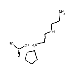 C1CCCC1.NCCNCCN.O=[PH](O)O